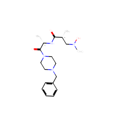 CCCC[C@H](CN(O)C=O)C(=O)N[C@H](C(=O)N1CCN(Cc2ccccc2)CC1)C(C)(C)C